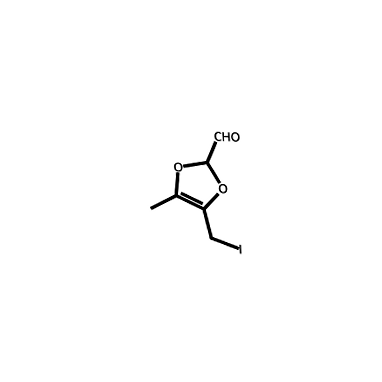 CC1=C(CI)OC(C=O)O1